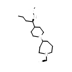 CCC/C(=N\OC)C1CCN(C2CCCN(C=O)CC2)CC1